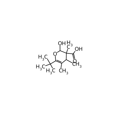 CC1=C(C(C)(C)C)OC(O)C(C)(C(=O)O)C1C